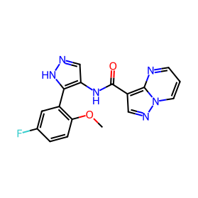 COc1ccc(F)cc1-c1[nH]ncc1NC(=O)c1cnn2cccnc12